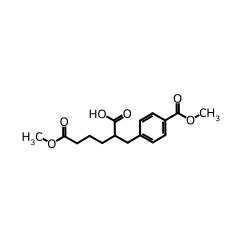 COC(=O)CCCC(Cc1ccc(C(=O)OC)cc1)C(=O)O